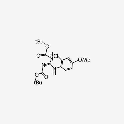 COc1ccc(N/C(=N\C(=O)OC(C)(C)C)NC(=O)OC(C)(C)C)c(Cl)c1